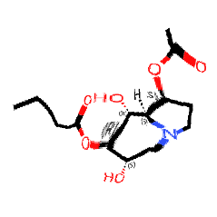 CCCC(=O)O[C@H]1[C@H](O)[C@H]2[C@@H](OC(C)=O)CCN2C[C@@H]1O